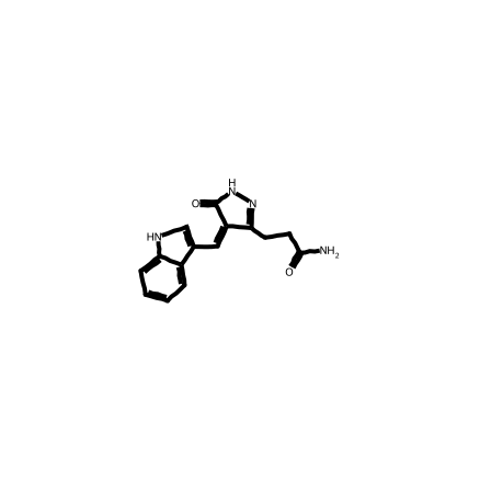 NC(=O)CCC1=NNC(=O)C1=Cc1c[nH]c2ccccc12